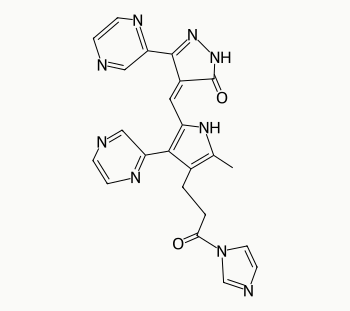 Cc1[nH]c(C=C2C(=O)NN=C2c2cnccn2)c(-c2cnccn2)c1CCC(=O)n1ccnc1